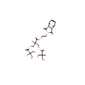 CC(CO)(CO)C(=O)OCC(C)(COC(=O)C(C)(CO)CO)C(=O)OCCN1C(=O)C2C3C=CC(O3)[C@H]2C1=O